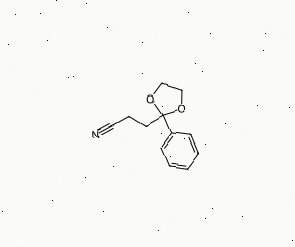 N#CCCC1(c2ccccc2)OCCO1